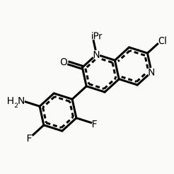 CC(C)n1c(=O)c(-c2cc(N)c(F)cc2F)cc2cnc(Cl)cc21